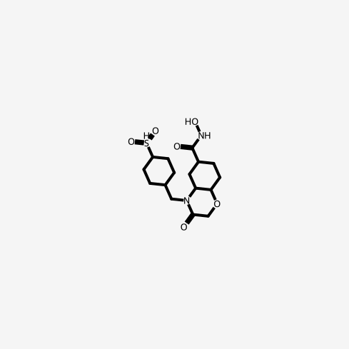 O=C(NO)C1CCC2OCC(=O)N(CC3CCC([SH](=O)=O)CC3)C2C1